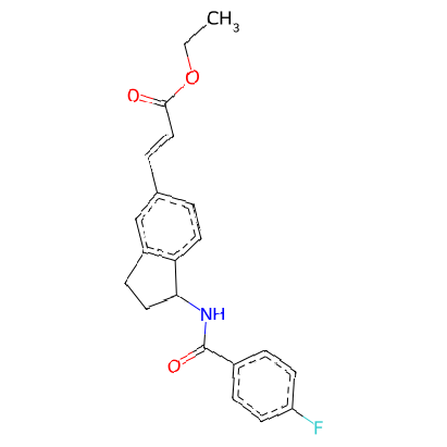 CCOC(=O)/C=C/c1ccc2c(c1)CCC2NC(=O)c1ccc(F)cc1